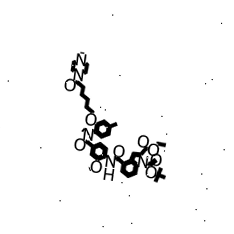 CCOC(=O)c1cc2c(C(=O)Nc3ccc(C(=O)N(C)c4ccc(C)cc4OCCCCCC(=O)N4CCN(C)CC4)cc3OC)cccc2n1C(=O)OC(C)(C)C